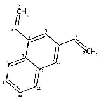 C=Cc1cc(C=C)c2ccccc2c1